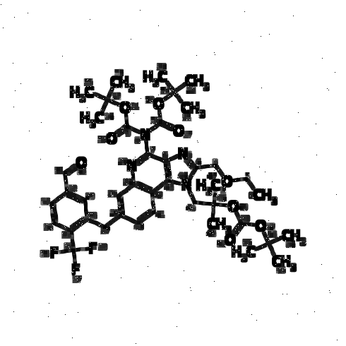 CCOCc1nc2c(N(C(=O)OC(C)(C)C)C(=O)OC(C)(C)C)nc3cc(Cc4cc(C=O)ccc4C(F)(F)F)ccc3c2n1CC(C)(C)OC(=O)OC(C)(C)C